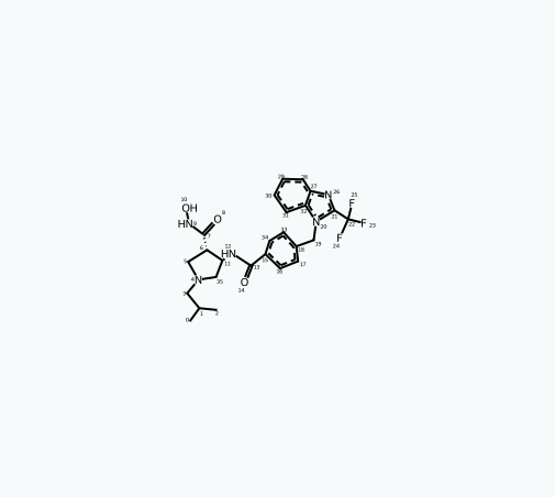 CC(C)CN1C[C@H](C(=O)NO)[C@H](NC(=O)c2ccc(Cn3c(C(F)(F)F)nc4ccccc43)cc2)C1